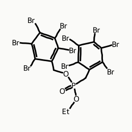 CCOP(=O)(Cc1c(Br)c(Br)c(Br)c(Br)c1Br)OCc1c(Br)c(Br)c(Br)c(Br)c1Br